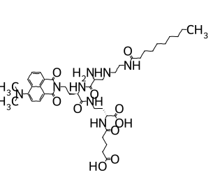 CCCCCCCCCC(=O)NCCNC[C@H](N)C(=O)N[C@H](CCN1C(=O)c2cccc3c(N(C)C)ccc(c23)C1=O)C(=O)NCC[C@@H](NC(=O)CCCC(=O)O)C(=O)O